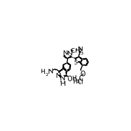 COCc1cccc2c(C#N)c(-c3c(-c4ccc5c(=O)[nH]nc(CN)c5c4)cnn3C)sc12.Cl